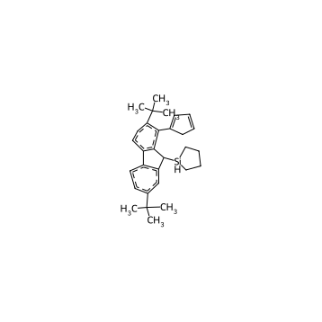 CC(C)(C)c1ccc2c(c1)C([SiH]1CCCC1)c1c-2ccc(C(C)(C)C)c1C1=CC=CC1